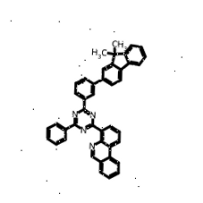 CC1(C)c2ccccc2-c2ccc(-c3cccc(-c4nc(-c5ccccc5)nc(-c5cccc6c5ncc5ccccc56)n4)c3)cc21